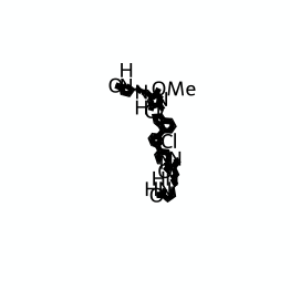 COc1nc(C[C@@H]2CCc3c(-c4cccc(-c5ccn6c(=O)c(CNC[C@H]7CCC(=O)N7)cnc6c5)c4Cl)cccc32)c(Cl)cc1CNC[C@H]1CCC(=O)N1